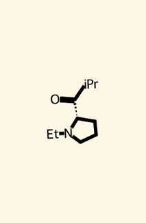 CCN1CCC[C@H]1C(=O)C(C)C